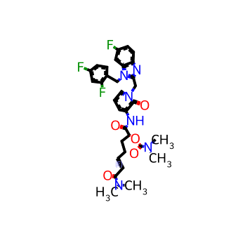 CN(C)C(=O)/C=C/CCC(OC(=O)N(C)C)C(=O)Nc1cccn(Cc2nc3ccc(F)cc3n2Cc2ccc(F)cc2F)c1=O